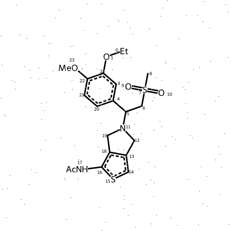 CCOc1cc(C(CS(C)(=O)=O)N2Cc3csc(NC(C)=O)c3C2)ccc1OC